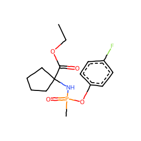 CCOC(=O)C1(NP(C)(=O)Oc2ccc(F)cc2)CCCC1